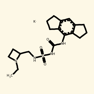 CCN1CCC1CNS(=O)(=O)NC(=O)Nc1c2c(cc3c1CCC3)CCC2.[K]